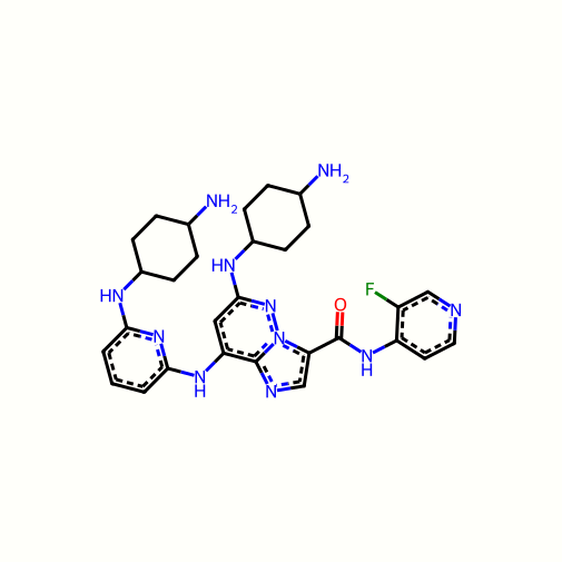 NC1CCC(Nc2cccc(Nc3cc(NC4CCC(N)CC4)nn4c(C(=O)Nc5ccncc5F)cnc34)n2)CC1